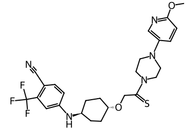 COc1ccc(N2CCN(C(=S)CO[C@H]3CC[C@H](Nc4ccc(C#N)c(C(F)(F)F)c4)CC3)CC2)cn1